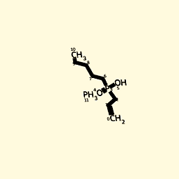 C=CCP(=O)(O)CCCCC.P